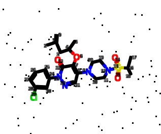 C=C(C)CC(C)Oc1c(N2CCN(S(=O)(=O)C(C)C)CC2)cnn(-c2cccc(Cl)c2)c1=O